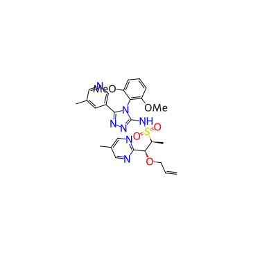 C=CCO[C@@H](c1ncc(C)cn1)[C@H](C)S(=O)(=O)Nc1nnc(-c2cncc(C)c2)n1-c1c(OC)cccc1OC